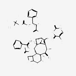 CC(=O)O[C@@]12CO[C@@H]1C[C@H](O)[C@@]1(C)C(=O)[C@H](O)C3=C(C)[C@@H](OC(=O)[C@H](O)[C@@H](NC(=O)OC(C)(C)C)c4ccccc4)C[C@@](O)([C@@H](OC(=O)c4ccccc4)[C@H]21)C3(C)C.O=c1[nH]cc(F)c(=O)[nH]1.[Pt]